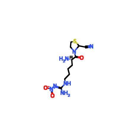 N#CC1SCCN1C(=O)[C@@H](N)CCCCNC(N)=N[N+](=O)[O-]